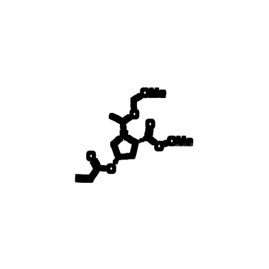 C=CC(=O)O[C@H]1C[C@@H](C(=O)OOC)N(C(C)OCOC)C1